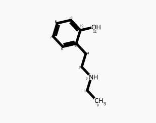 CCNCCc1ccccc1O